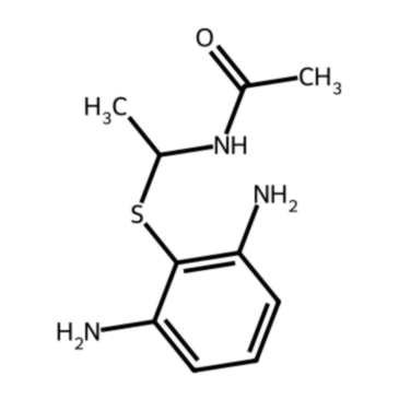 CC(=O)NC(C)Sc1c(N)cccc1N